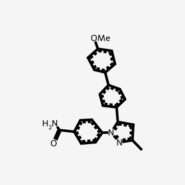 COc1ccc(-c2ccc(-c3cc(C)nn3-c3ccc(C(N)=O)cc3)cc2)cc1